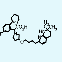 CC1(C)CCc2ccc(CCCCOC3CCN(C(C(=O)O)c4cc(F)ccc4C4CCCCO4)C3)nc2N1